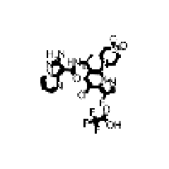 C[C@H](NC(=O)c1c(N)nn2cccnc12)c1cc(Cl)c2c(F)cnn2c1N1CCS(=O)(=O)CC1.O=C(O)C(F)(F)F